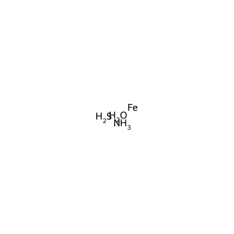 N.O.S.[Fe]